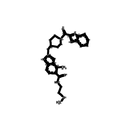 COCCNC(=O)c1ccc2nn(CC3CCN(C(=O)c4nc5ccccc5o4)CC3)cc2c1C